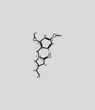 COc1ccc(CN2CC(CI)CC2=O)c(OC)c1